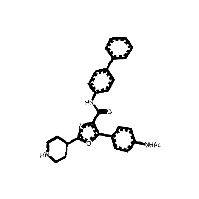 CC(=O)Nc1ccc(-c2oc(C3CCNCC3)nc2C(=O)Nc2ccc(-c3ccccc3)cc2)cc1